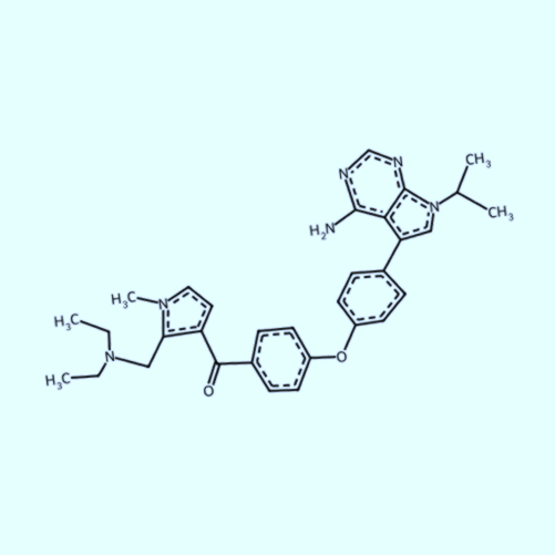 CCN(CC)Cc1c(C(=O)c2ccc(Oc3ccc(-c4cn(C(C)C)c5ncnc(N)c45)cc3)cc2)ccn1C